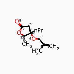 C=C(C)COC1(CCC)CC(=O)OC1C